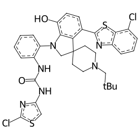 CC(C)(C)CN1CCC2(CC1)CN(c1ccccc1NC(=O)Nc1csc(Cl)n1)c1c(O)ccc(-c3nc4cccc(Cl)c4s3)c12